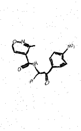 Cc1nocc1C(=O)NC(C(=O)c1ccc([N+](=O)[O-])cc1)C(C)C